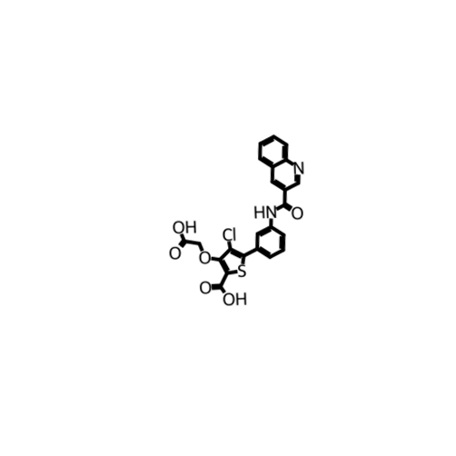 O=C(O)COc1c(C(=O)O)sc(-c2cccc(NC(=O)c3cnc4ccccc4c3)c2)c1Cl